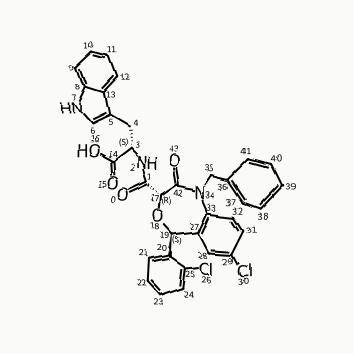 O=C(N[C@@H](Cc1c[nH]c2ccccc12)C(=O)O)[C@H]1O[C@H](c2ccccc2Cl)c2cc(Cl)ccc2N(Cc2ccccc2)C1=O